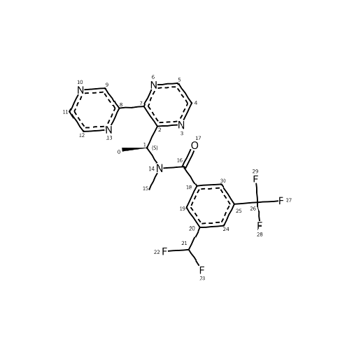 C[C@@H](c1nccnc1-c1cnccn1)N(C)C(=O)c1cc(C(F)F)cc(C(F)(F)F)c1